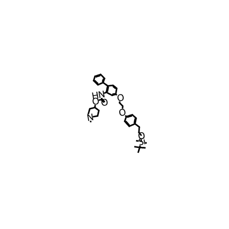 CN1CCC(OC(=O)Nc2cc(OCCOc3ccc(CCO[Si](C)(C)C(C)(C)C)cc3)ccc2-c2ccccc2)CC1